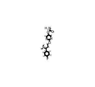 CN(C)C(CCOc1ncc(OC(N)=O)cn1)c1ccc(F)cc1